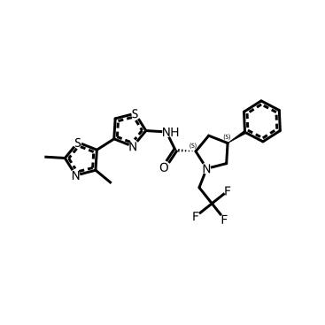 Cc1nc(C)c(-c2csc(NC(=O)[C@@H]3C[C@@H](c4ccccc4)CN3CC(F)(F)F)n2)s1